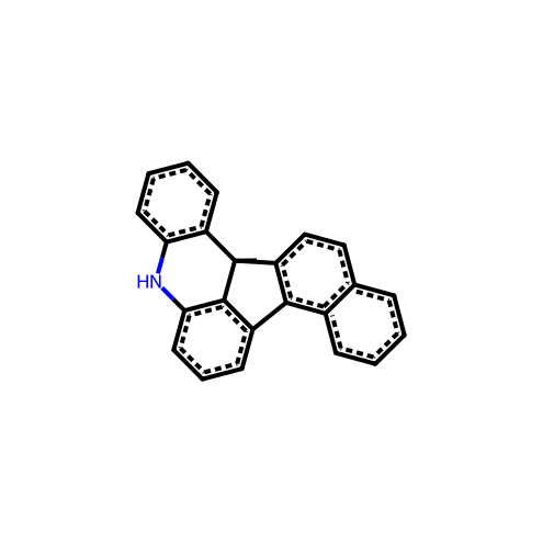 CC12c3ccccc3Nc3cccc(c31)-c1c2ccc2ccccc12